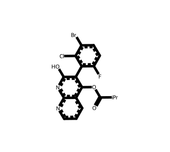 CC(C)C(=O)Oc1c(-c2c(F)ccc(Br)c2Cl)c(O)nc2ncccc12